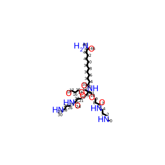 CNCCCNC(=O)CCOCC(COCCC=O)(COCCC(=O)NCCCNC)NC(=O)CCCCCCCCCCC(N)=O